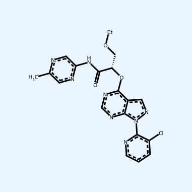 CCOC[C@H](Oc1ncnc2c1cnn2-c1ncccc1Cl)C(=O)Nc1cnc(C)cn1